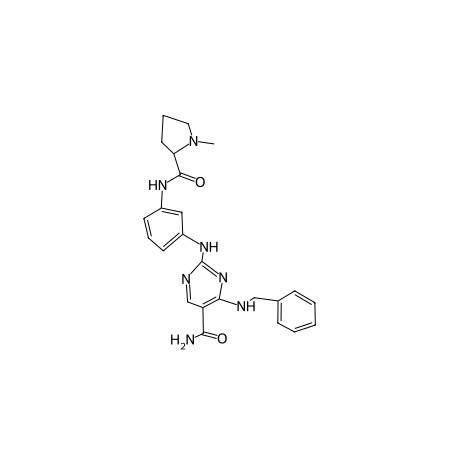 CN1CCCC1C(=O)Nc1cccc(Nc2ncc(C(N)=O)c(NCc3ccccc3)n2)c1